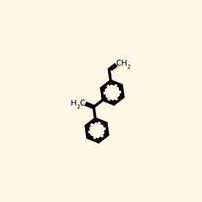 C=Cc1cccc(C(=C)c2ccccc2)c1